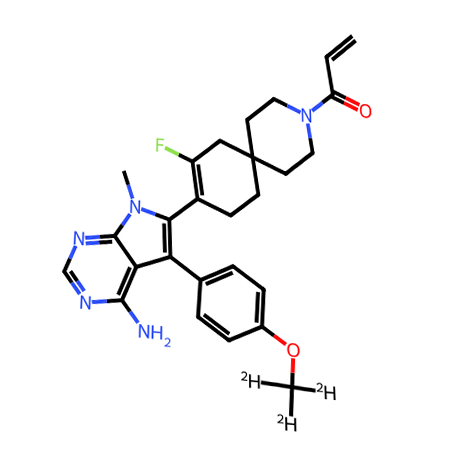 [2H]C([2H])([2H])Oc1ccc(-c2c(C3=C(F)CC4(CC3)CCN(C(=O)C=C)CC4)n(C)c3ncnc(N)c23)cc1